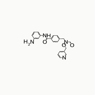 Nc1cccc(NC(=O)c2ccc(CN(C=O)OCc3cccnc3)cc2)c1